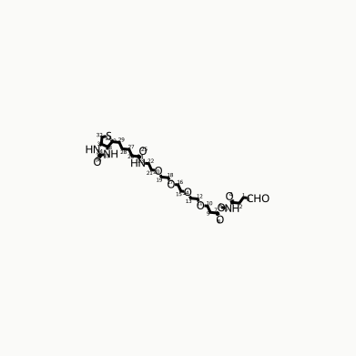 O=CCCC(=O)NOC(=O)CCOCCOCCOCCOCCNC(=O)CCCCC1SCC2NC(=O)NC21